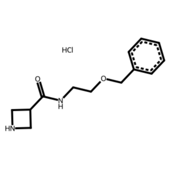 Cl.O=C(NCCOCc1ccccc1)C1CNC1